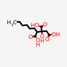 CCCCCCC(C(=O)O)C(O)(CC(=O)O)C(=O)O